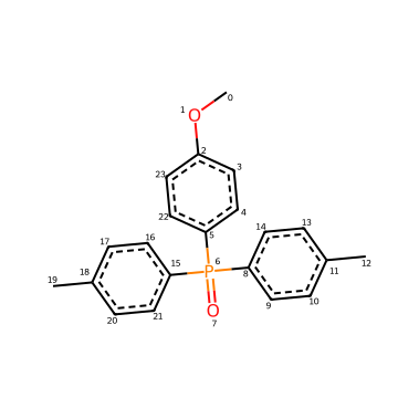 COc1ccc(P(=O)(c2ccc(C)cc2)c2ccc(C)cc2)cc1